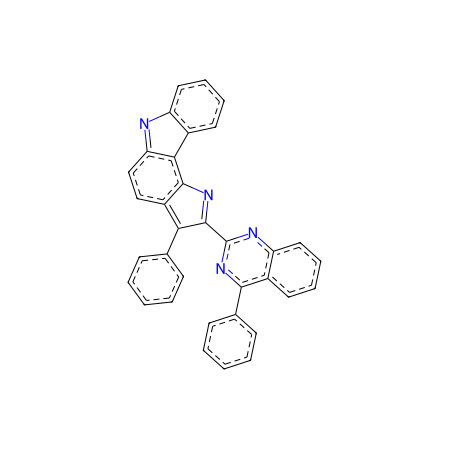 c1ccc(C2=c3ccc4c(c3N=C2c2nc(-c3ccccc3)c3ccccc3n2)-c2ccccc2N=4)cc1